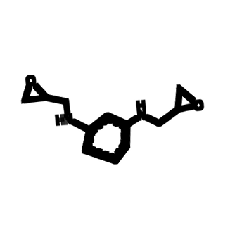 c1cc(NCC2CO2)cc(NCC2CO2)c1